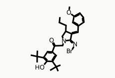 CCCC1CN(CC(=O)c2cc(C(C)(C)C)c(O)c(C(C)(C)C)c2)C(=N\Br)/C1=C/c1cccc(OC)c1